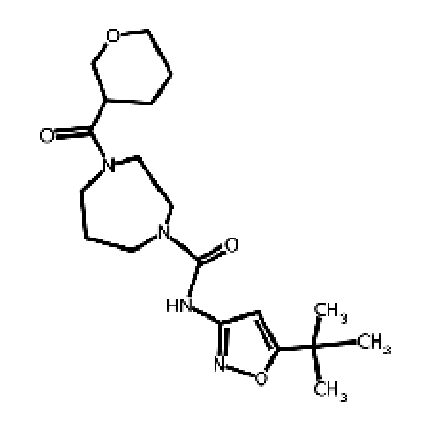 CC(C)(C)c1cc(NC(=O)N2CCCN(C(=O)C3CCCOC3)CC2)no1